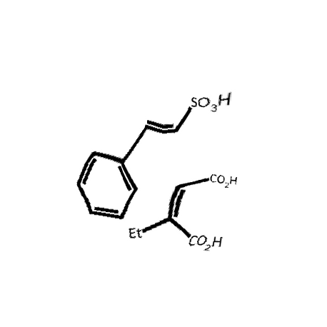 CCC(=CC(=O)O)C(=O)O.O=S(=O)(O)C=Cc1ccccc1